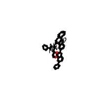 c1ccc(-c2ccc3cc(-c4ccc5oc6c7ccccc7cc(-c7nc(-c8ccccc8)nc(-c8ccccc8)n7)c6c5c4)ccc3c2)cc1